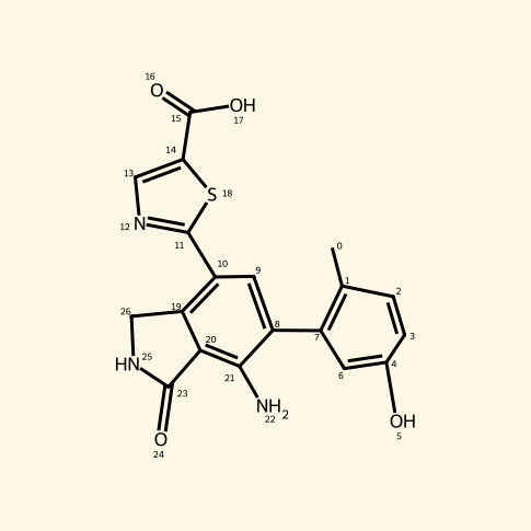 Cc1ccc(O)cc1-c1cc(-c2ncc(C(=O)O)s2)c2c(c1N)C(=O)NC2